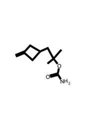 C=C1CC(CC(C)(C)OC(N)=O)C1